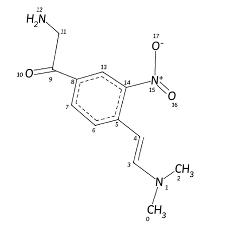 CN(C)/C=C/c1ccc(C(=O)CN)cc1[N+](=O)[O-]